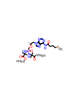 CCCCCCCC(=O)C(C)(C)NP(=O)(CO[C@H](C)Cn1cnc2c(NC(=O)CCCSC(C)=O)ncnc21)NC(C)(C)C(=O)OCCCCCC